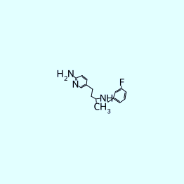 CC(CCc1ccc(N)nc1)NCc1cccc(F)c1